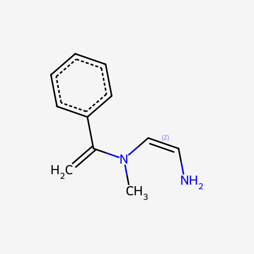 C=C(c1ccccc1)N(C)/C=C\N